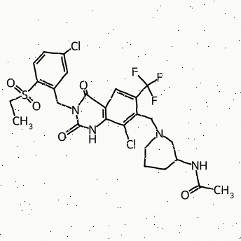 CCS(=O)(=O)c1ccc(Cl)cc1Cn1c(=O)[nH]c2c(Cl)c(CN3CCCC(NC(C)=O)C3)c(C(F)(F)F)cc2c1=O